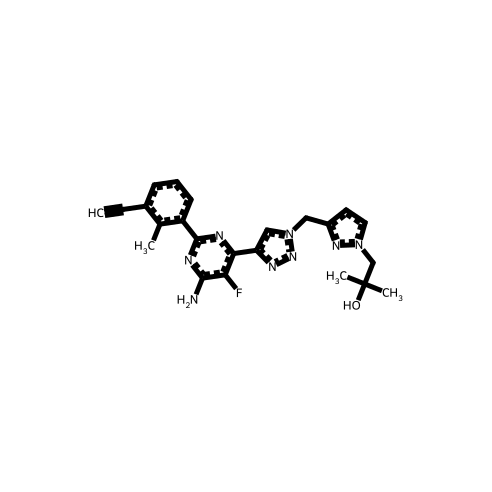 C#Cc1cccc(-c2nc(N)c(F)c(-c3cn(Cc4ccn(CC(C)(C)O)n4)nn3)n2)c1C